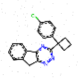 Clc1ccc(C2(c3nnc4c(n3)-c3ccccc3C4)CCC2)cc1